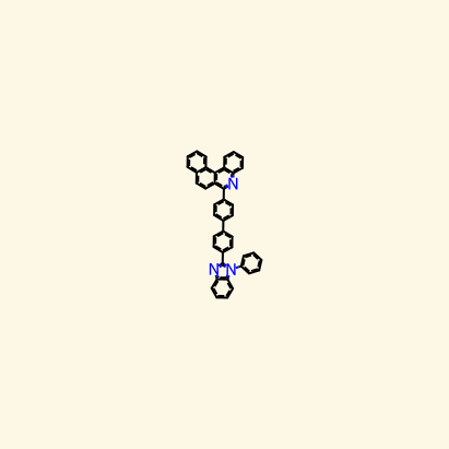 c1ccc(-n2c(-c3ccc(-c4ccc(-c5nc6ccccc6c6c5ccc5ccccc56)cc4)cc3)nc3ccccc32)cc1